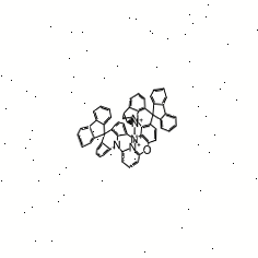 c1ccc2c(c1)-c1ccccc1C21c2ccccc2N2c3c1cccc3[N+]13c4c(ccc5c4-n4c6c(cccc6c6ccc[n+]1c64)C51c4ccccc4-c4ccccc41)Oc1cccc2[n+]13